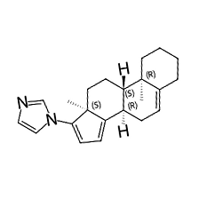 C[C@]12CC[C@H]3[C@@H](CC=C4CCCC[C@@]43C)C1=CC=C2n1ccnc1